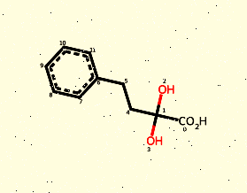 O=C(O)C(O)(O)CCc1ccccc1